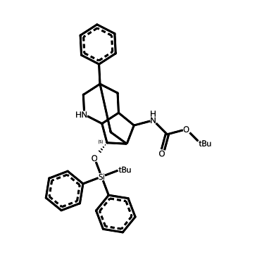 CC(C)(C)OC(=O)NC1C2CC3(c4ccccc4)CNC2[C@@H](O[Si](c2ccccc2)(c2ccccc2)C(C)(C)C)C1C3